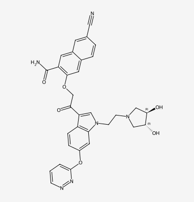 N#Cc1ccc2cc(OCC(=O)c3cn(CCN4C[C@@H](O)[C@H](O)C4)c4cc(Oc5cccnn5)ccc34)c(C(N)=O)cc2c1